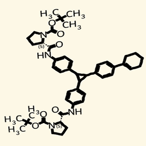 CC(C)(C)OC(=O)N1CCC[C@H]1C(=O)Nc1ccc(C2C(c3ccc(NC(=O)[C@@H]4CCCN4C(=O)OC(C)(C)C)cc3)C2c2ccc(C3=CCCCC3)cc2)cc1